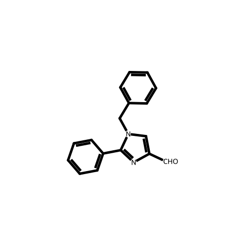 O=Cc1cn(Cc2ccccc2)c(-c2ccccc2)n1